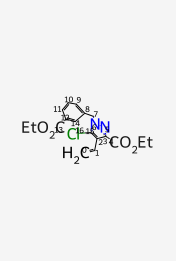 C=Cc1c(C(=O)OCC)nn(Cc2cccc(C(=O)OCC)c2)c1Cl